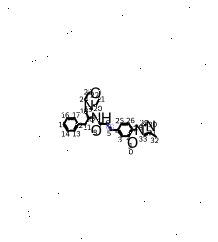 COc1cc(/C=C/C(=O)NC(Cc2ccccc2)CN2CCOCC2)ccc1-n1cnc(C)c1